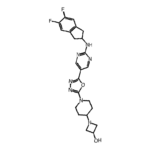 OC1CN(C2CCN(c3nnc(-c4cnc(NC5Cc6cc(F)c(F)cc6C5)nc4)o3)CC2)C1